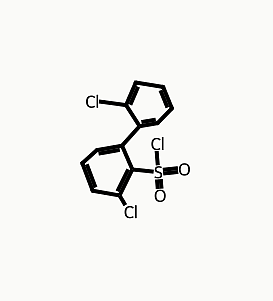 O=S(=O)(Cl)c1c(Cl)cccc1-c1ccccc1Cl